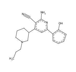 CCCN1CCCC(c2cc(-c3ccccc3O)nc(N)c2C#N)C1